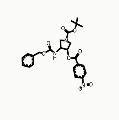 CC(C)(C)OC(=O)N1CC(NC(=O)OCc2ccccc2)C(OC(=O)c2ccc([N+](=O)[O-])cc2)C1